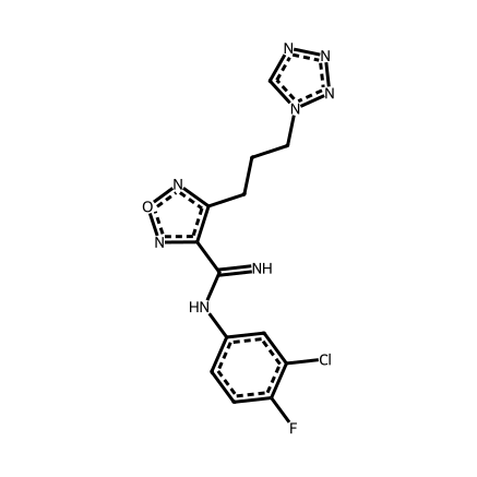 N=C(Nc1ccc(F)c(Cl)c1)c1nonc1CCCn1cnnn1